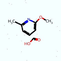 COc1cccc(C)n1.O=CO